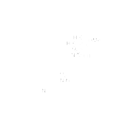 COc1cc(C)c(S(=O)(=O)N2CCCC(CCCS(=O)(=O)N3CCC(CCN4CCCC4)CC3)C2)c(C)c1C